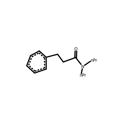 CCCN(CCC)C(=O)CCc1ccccc1